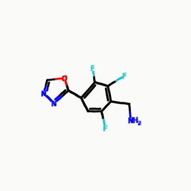 NCc1c(F)cc(-c2nnco2)c(F)c1F